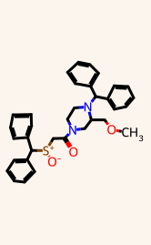 COCC1CN(C(=O)C[S+]([O-])C(c2ccccc2)c2ccccc2)CCN1C(c1ccccc1)c1ccccc1